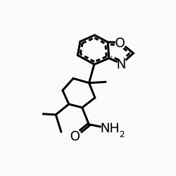 CC(C)C1CCC(C)(c2cccc3ocnc23)CC1C(N)=O